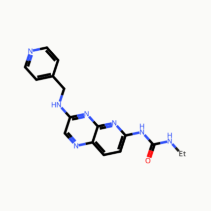 CCNC(=O)Nc1ccc2ncc(NCc3ccncc3)nc2n1